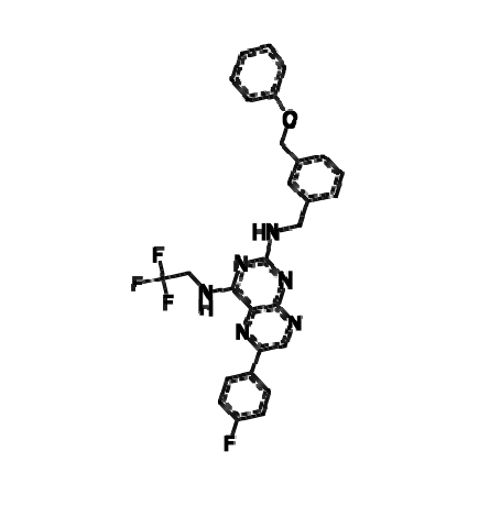 Fc1ccc(-c2cnc3nc(NCc4cccc(COc5ccccc5)c4)nc(NCC(F)(F)F)c3n2)cc1